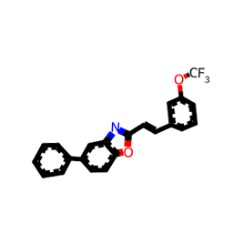 FC(F)(F)Oc1cccc(C=Cc2nc3cc(-c4ccccc4)ccc3o2)c1